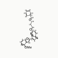 COc1nccc2oc(-c3cnc4ccc(OCCCOCc5ccccc5)nn34)cc12